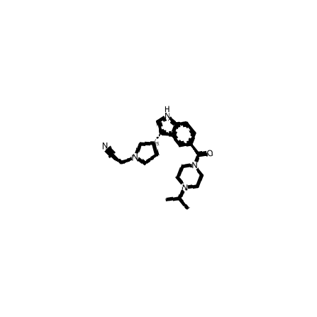 CC(C)N1CCN(C(=O)c2ccc3[nH]cc([C@@H]4CCN(CC#N)C4)c3c2)CC1